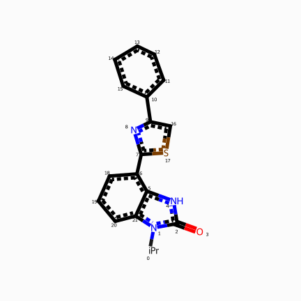 CC(C)n1c(=O)[nH]c2c(-c3nc(-c4ccccc4)cs3)cccc21